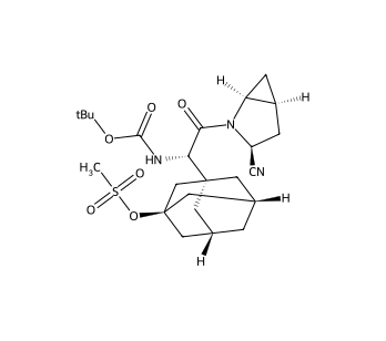 CC(C)(C)OC(=O)N[C@H](C(=O)N1[C@H](C#N)C[C@@H]2C[C@@H]21)[C@]12C[C@@H]3C[C@H](C[C@](OS(C)(=O)=O)(C3)C1)C2